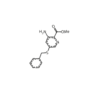 COC(=O)c1ncc(SCc2ccccc2)cc1N